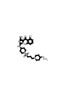 COC1CCN(CCCS(=O)(=O)N2CCC(Nc3nc(N)c(C(=O)c4c(F)cccc4F)s3)CC2)CC1